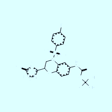 CC(C)(OC(=O)Nc1ccc2c(c1)N(S(=O)(=O)c1ccc(F)cc1)CC(c1n[nH]c(=O)o1)O2)C(F)(F)F